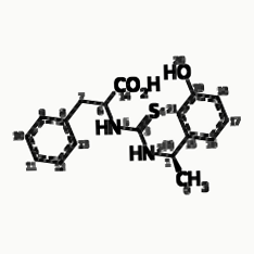 C[C@@H](NC(=S)NC(Cc1ccccc1)C(=O)O)c1cccc(O)c1